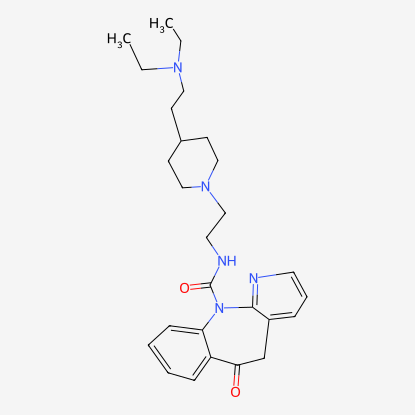 CCN(CC)CCC1CCN(CCNC(=O)N2c3ccccc3C(=O)Cc3cccnc32)CC1